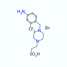 Nc1ccc(CN2CCN(CCS(=O)(=O)O)CC2)c(C(F)(F)F)c1.[Zn]